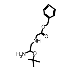 CC(C)(C)OC(N)CNCC(=O)OCc1ccccc1